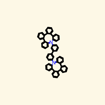 c1cc(-c2cccc(-n3c4ccccc4c4ccccc4c4ccccc4c4ccccc43)c2)cc(-n2c3ccccc3c3ccccc3c3ccccc3c3ccccc32)c1